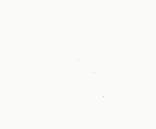 BP(C12CC3C[C@H](C1)C[C@@H](C3)C2)C12CC3C[C@H](C1)C[C@@H](C3)C2